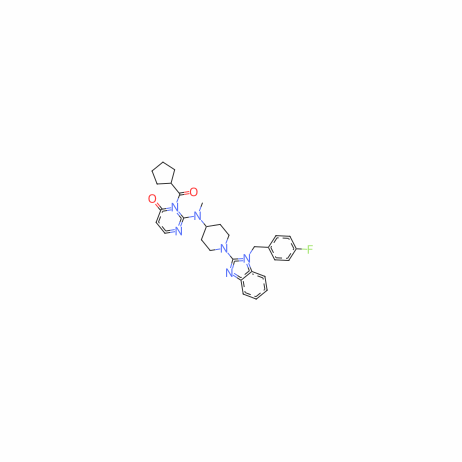 CN(c1nccc(=O)n1C(=O)C1CCCC1)C1CCN(c2nc3ccccc3n2Cc2ccc(F)cc2)CC1